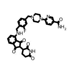 NC(=O)c1ccc(N2CCN(Cc3ccc(CNc4cccc5c4C(=O)C(C4CCC(=O)NC4=O)C5=O)c(F)c3)CC2)nc1